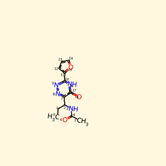 CCC(NC(C)=O)c1nnc(-c2ccco2)[nH]c1=O